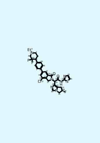 CCN1CCC(c2ccc(-c3cc(Cl)c4c(c3)C(=O)N(C(C(=O)Nc3nccs3)c3ncn5c3C[C@@H](F)C5)C4)cc2)C(F)(F)C1